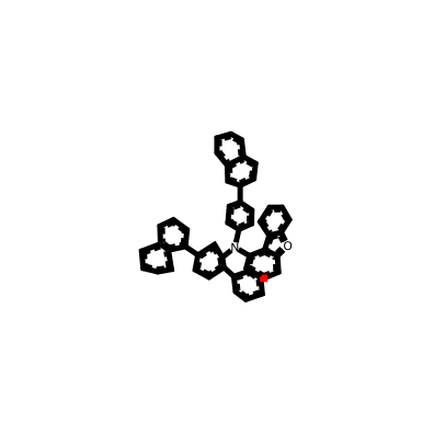 c1ccc(-c2ccc(-c3cccc4ccccc34)cc2N(c2ccc(-c3ccc4ccccc4c3)cc2)c2cccc3oc4ccccc4c23)cc1